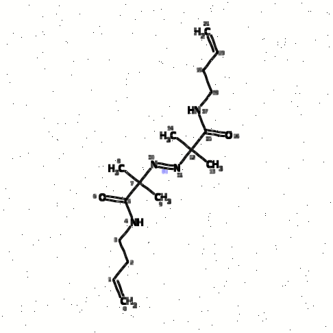 C=CCCNC(=O)C(C)(C)/N=N/C(C)(C)C(=O)NCCC=C